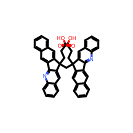 O=C(O)CCC1(CC2(CCC(=O)O)c3cc4ccccc4cc3-c3nc4ccccc4cc32)c2cc3ccccc3cc2-c2nc3ccccc3cc21